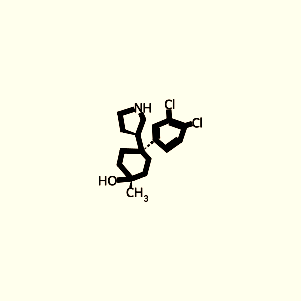 C[C@]1(O)CC[C@@](c2ccc(Cl)c(Cl)c2)([C@H]2CCNC2)CC1